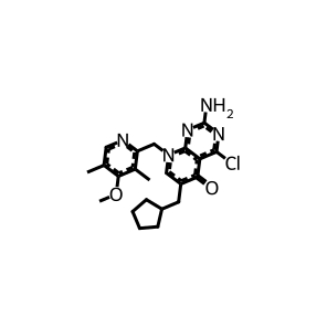 COc1c(C)cnc(Cn2cc(CC3CCCC3)c(=O)c3c(Cl)nc(N)nc32)c1C